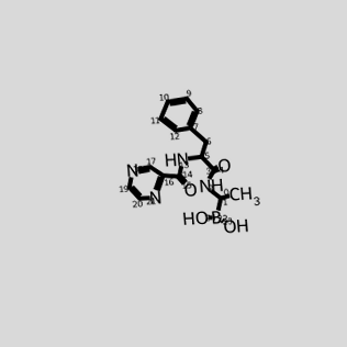 CC(NC(=O)C(Cc1ccccc1)NC(=O)c1cnccn1)B(O)O